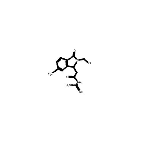 CC(C)CN1C(=O)c2ccc(C(F)(F)F)cc2C1CC(=O)NC(=N)N